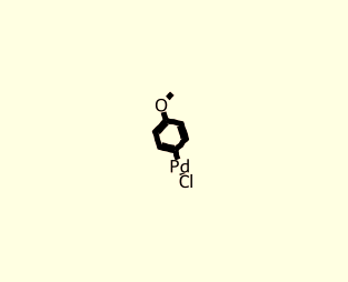 COc1cc[c]([Pd][Cl])cc1